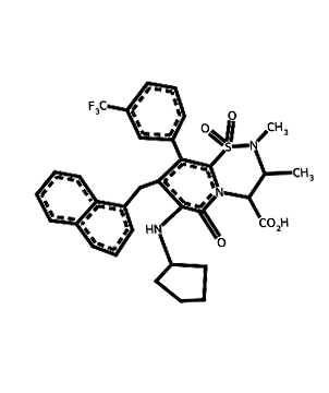 CC1C(C(=O)O)n2c(c(-c3cccc(C(F)(F)F)c3)c(Cc3cccc4ccccc34)c(NC3CCCC3)c2=O)S(=O)(=O)N1C